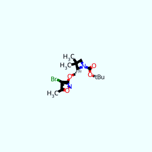 Cc1onc(OC[C@H]2N(C(=O)OC(C)(C)C)CC2(C)C)c1Br